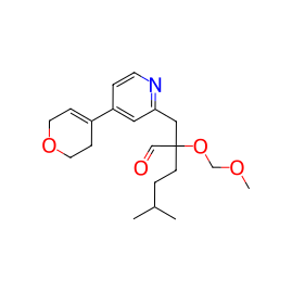 COCOC(C=O)(CCC(C)C)Cc1cc(C2=CCOCC2)ccn1